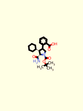 CC(C)(C)OC(=O)N1CC(c2ccccc2C(=O)O)[C@@H](C2CCCCC2)[C@H]1C(N)=O